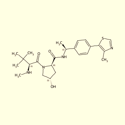 CN[C@H](C(=O)N1C[C@@H](O)C[C@@H]1C(=O)N[C@@H](C)c1ccc(-c2scnc2C)cc1)C(C)(C)C